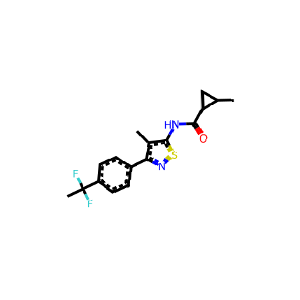 Cc1c(-c2ccc(C(C)(F)F)cc2)nsc1NC(=O)C1CC1C